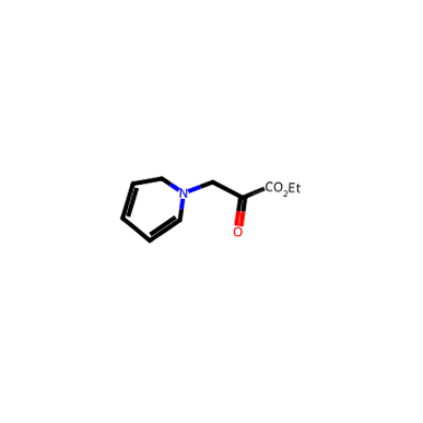 CCOC(=O)C(=O)CN1C=CC=CC1